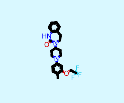 Cc1ccc(N2CCC(N3CCc4ccccc4NC3=O)CC2)cc1OCC(F)(F)F